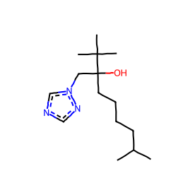 CC(C)CCCCC(O)(Cn1cncn1)C(C)(C)C